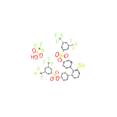 O=S(=O)(O)C(F)(F)F.O=S(=O)(Oc1ccc(-c2cccc(S)c2-c2ccc(OS(=O)(=O)c3cc(C(F)(F)F)cc(C(F)(F)F)c3)cc2)cc1)c1cc(C(F)(F)F)cc(C(F)(F)F)c1